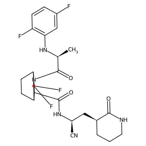 C[C@H](Nc1cc(F)ccc1F)C(=O)N1C2CCC(C1C(=O)N[C@H](C#N)C[C@@H]1CCCNC1=O)C(F)(F)C2